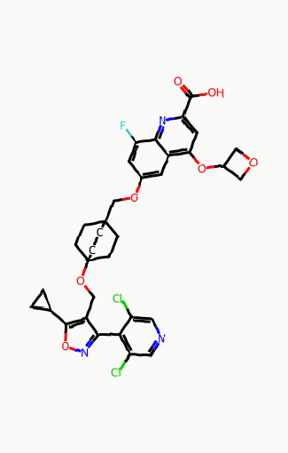 O=C(O)c1cc(OC2COC2)c2cc(OCC34CCC(OCc5c(-c6c(Cl)cncc6Cl)noc5C5CC5)(CC3)CC4)cc(F)c2n1